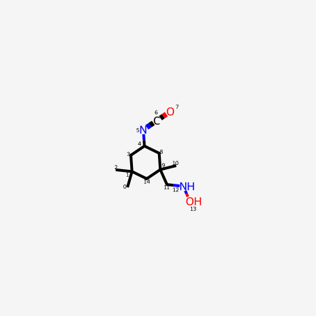 CC1(C)CC(N=C=O)CC(C)(CNO)C1